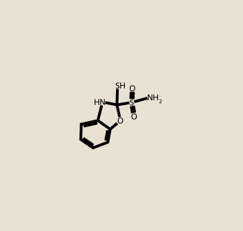 NS(=O)(=O)C1(S)Nc2ccccc2O1